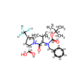 CC(C)C(C(=O)N1C[C@H](C(F)(F)F)C[C@H]1C(=O)O)N(Cc1ccccc1)C(=O)OC(C)(C)C